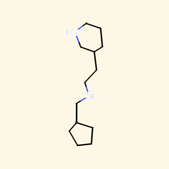 C1CCC(CNCCC2CCCNC2)C1